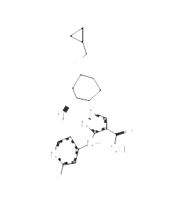 N#C[C@@H]1C[C@H](OCC2CC2)CC[C@@H]1n1cc(C(N)=O)c(Nc2ccnc(F)c2)n1